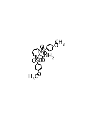 COc1ccc(S(=O)(=O)N2C=CC=CN(S(=O)(=O)c3ccc(OC)cc3)C2C(N)=O)cc1